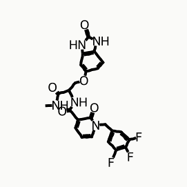 CNC(=O)C(COc1ccc2[nH]c(=O)[nH]c2c1)NC(=O)c1cccn(Cc2cc(F)c(F)c(F)c2)c1=O